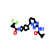 O=C(Nc1nc2cccc([C@H]3CCC4(C3)CN(C(=O)[C@@H]3CC3(F)F)C4)n2n1)C1CC1